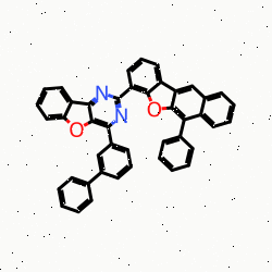 c1ccc(-c2cccc(-c3nc(-c4cccc5c4oc4c(-c6ccccc6)c6ccccc6cc45)nc4c3oc3ccccc34)c2)cc1